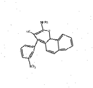 CC(=O)NC1=C(C#N)C(c2cccc([N+](=O)[O-])c2)=C2C=Cc3ccccc3C2O1